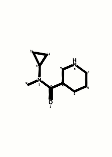 CN(C(=O)C1CCCNC1)C1CC1